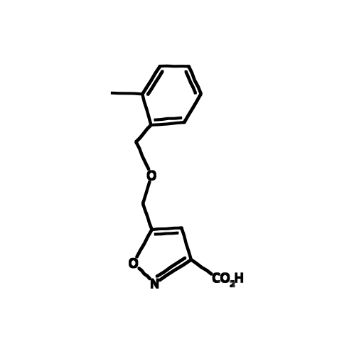 Cc1ccccc1COCc1cc(C(=O)O)no1